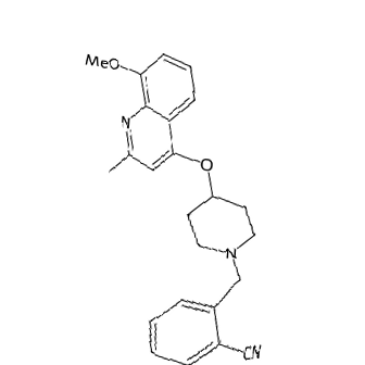 COc1cccc2c(OC3CCN(Cc4ccccc4C#N)CC3)cc(C)nc12